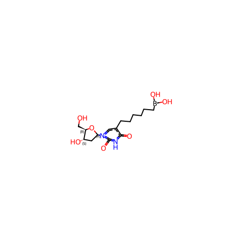 O=c1[nH]c(=O)n([C@H]2C[C@H](O)[C@@H](CO)O2)cc1CCCCCCB(O)O